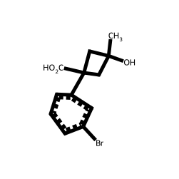 CC1(O)CC(C(=O)O)(c2cccc(Br)c2)C1